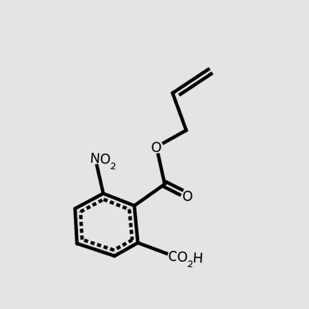 C=CCOC(=O)c1c(C(=O)O)cccc1[N+](=O)[O-]